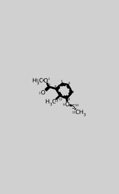 COC(=O)c1cccc(OSC)c1C